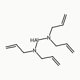 C=CC[N](CC=C)[AlH][N](CC=C)CC=C